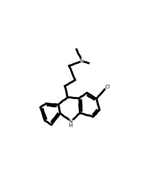 CN(C)CCCC1c2ccccc2Nc2ccc(Cl)cc21